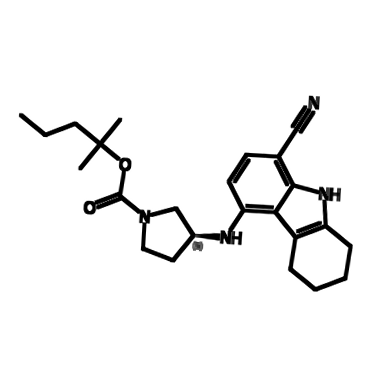 CCCC(C)(C)OC(=O)N1CC[C@H](Nc2ccc(C#N)c3[nH]c4c(c23)CCCC4)C1